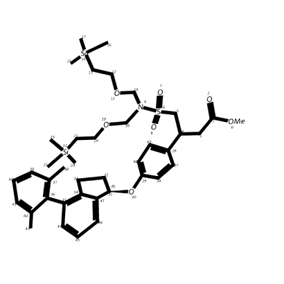 COC(=O)CC(CS(=O)(=O)N(COCC[Si](C)(C)C)COCC[Si](C)(C)C)c1ccc(O[C@@H]2CCc3c(-c4c(C)cccc4C)cccc32)cc1